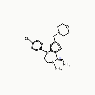 N/C=C1/c2ccc(CN3CCOCC3)cc2N(c2ccc(Cl)cc2)CCN1N